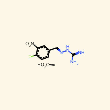 CC(=O)O.N=C(N)NN=Cc1ccc(F)c([N+](=O)[O-])c1